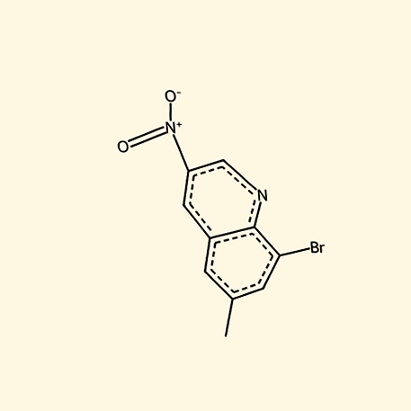 Cc1cc(Br)c2ncc([N+](=O)[O-])cc2c1